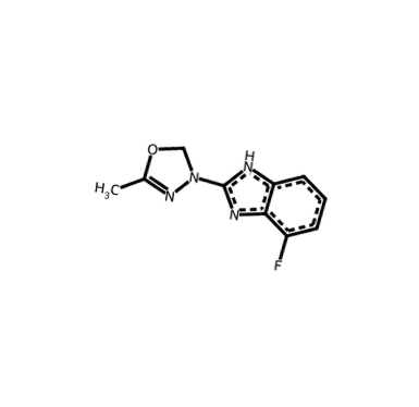 CC1=NN(c2nc3c(F)cccc3[nH]2)CO1